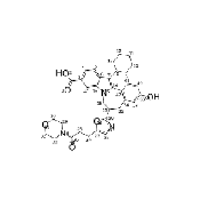 O=C(O)c1ccc2c(C3CCCCC3)c3n(c2c1)CC(c1ncc(CCC(=O)N2CCOCC2)o1)Cc1cc(O)ccc1-3